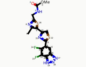 COC(=O)NCc1nc(C)c(-c2csc(-c3cc4nn[nH]c4c(F)c3F)n2)s1